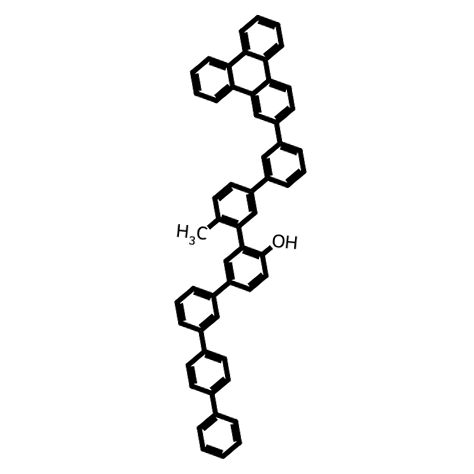 Cc1ccc(-c2cccc(-c3ccc4c5ccccc5c5ccccc5c4c3)c2)cc1-c1cc(-c2cccc(-c3ccc(-c4ccccc4)cc3)c2)ccc1O